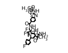 C[C@]1(C(N)=O)COc2c1cc(C(O)(CNC(=O)c1ccc3nc(NS(C)(=O)=O)sc3c1)C(F)(F)F)nc2-c1ccc(F)cc1